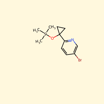 C[Si](C)(C)OC1(c2ccc(Br)cn2)CC1